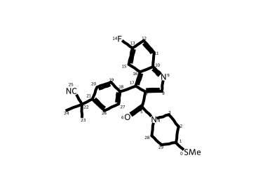 CSC1CCN(C(=O)c2cnc3ccc(F)cc3c2-c2ccc(C(C)(C)C#N)cc2)CC1